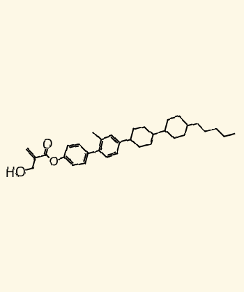 C=C(CO)C(=O)Oc1ccc(-c2ccc(C3CCC(C4CCC(CCCCC)CC4)CC3)cc2C)cc1